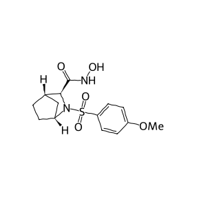 COc1ccc(S(=O)(=O)N2[C@@H]3CC[C@@H](C3)[C@H]2C(=O)NO)cc1